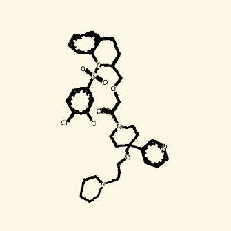 O=C(COCC1CCc2ccccc2N1S(=O)(=O)c1ccc(Cl)c(Cl)c1)N1CCC(OCCN2CCCCC2)(c2cccnc2)CC1